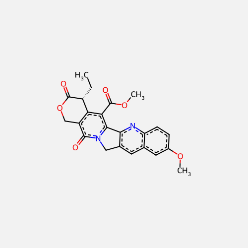 CC[C@H]1C(=O)OCc2c1c(C(=O)OC)c1n(c2=O)Cc2cc3cc(OC)ccc3nc2-1